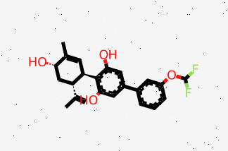 C=C(C)[C@@H]1C[C@H](O)C(C)=C[C@H]1c1c(O)cc(-c2cccc(OC(F)F)c2)cc1O